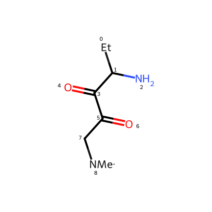 CCC(N)C(=O)C(=O)C[N]C